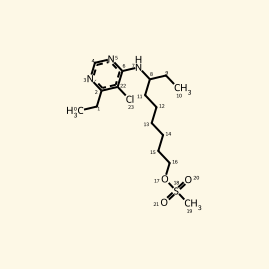 CCc1ncnc(NC(CC)CCCCCCOS(C)(=O)=O)c1Cl